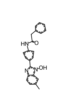 Cc1ccc2nc(-c3ccc(NC(=O)Cc4ccccc4)cc3)n(O)c2c1